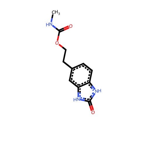 CNC(=O)OCCc1ccc2[nH]c(=O)[nH]c2c1